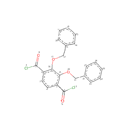 O=C(Cl)c1ccc(C(=O)Cl)c(OCc2ccccc2)c1OCc1ccccc1